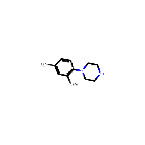 CC(=O)Nc1cc([N+](=O)[O-])ccc1N1CCNCC1